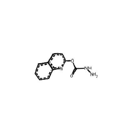 NNC(=O)Oc1ccc2ccccc2n1